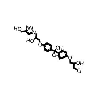 CC(C)(c1ccc(OCC(O)CCl)cc1)c1ccc(OCC(O)Cn2cc(CO)nn2)cc1